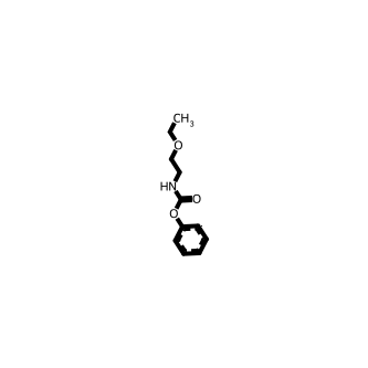 CCOCCNC(=O)Oc1[c]cccc1